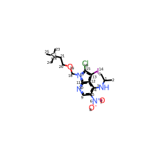 CC(C)Nc1c([N+](=O)[O-])cnc2c1c(I)c(Cl)n2COCC[Si](C)(C)C